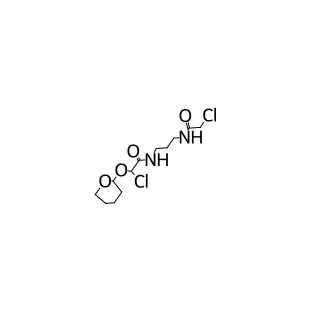 O=C(CCl)NCCCNC(=O)C(Cl)OC1CCCCO1